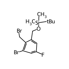 CC(C)(C)[Si](C)(C)OCc1cc(F)cc(Br)c1CBr